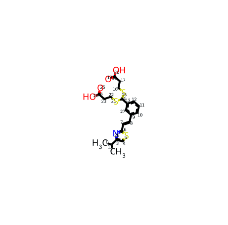 CC(C)c1csc(C=Cc2cccc(C(SCCC(=O)O)SCCC(=O)O)c2)n1